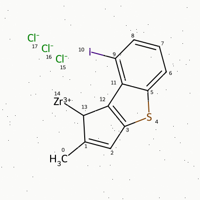 CC1=Cc2sc3cccc(I)c3c2[CH]1[Zr+3].[Cl-].[Cl-].[Cl-]